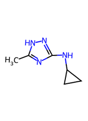 Cc1nc(NC2CC2)n[nH]1